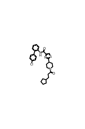 O=C(Nc1ccccc1-c1ccc(Cl)cc1)c1csc(C2CCN(C(=O)CCC3CCCC3)CC2)n1